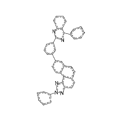 c1ccc(-c2nc(-c3cccc(-c4ccc5c(ccc6ccc7nn(-c8ccccc8)nc7c65)c4)c3)nc3ccccc23)cc1